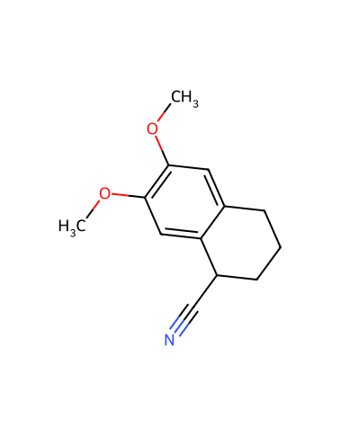 COc1cc2c(cc1OC)C(C#N)CCC2